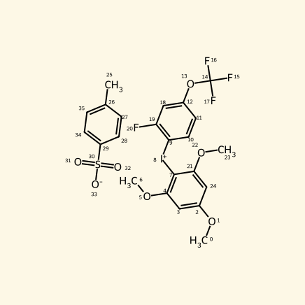 COc1cc(OC)c([I+]c2ccc(OC(F)(F)F)cc2F)c(OC)c1.Cc1ccc(S(=O)(=O)[O-])cc1